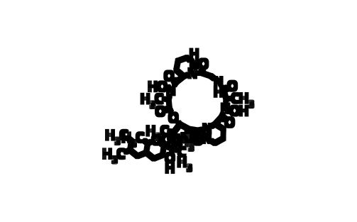 CCC(C)CC1CCC(O)(C(C)(O)C(=O)NC2C(=O)N3NCCCC3C(=O)N(O)C(C)C(=O)NCC(=O)N3NCCCC3C(=O)N(O)C(C)C(=O)OC2C(C)C)OC1C